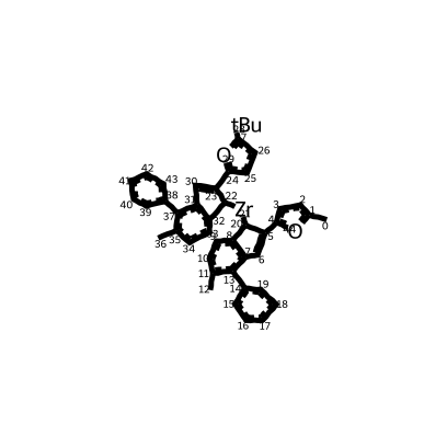 Cc1ccc(C2=Cc3c(ccc(C)c3-c3ccccc3)[CH]2[Zr][CH]2C(c3ccc(C(C)(C)C)o3)=Cc3c2ccc(C)c3-c2ccccc2)o1